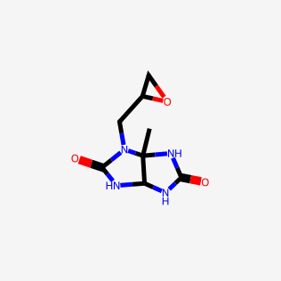 CC12NC(=O)NC1NC(=O)N2CC1CO1